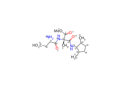 COC(=O)[C@@](C)(NC(=O)[C@@H](N)CC(=O)O)C(=O)NC1C(C)CCC1C